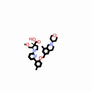 COCC1N(c2cccc(-c3cc(C)ccc3OCc3cc(C)c4c(c3)CCN(C3CCOCC3)C4)n2)CC[C@@]1(C)C(=O)O